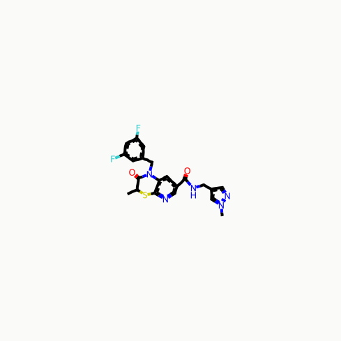 CC1Sc2ncc(C(=O)NCc3cnn(C)c3)cc2N(Cc2cc(F)cc(F)c2)C1=O